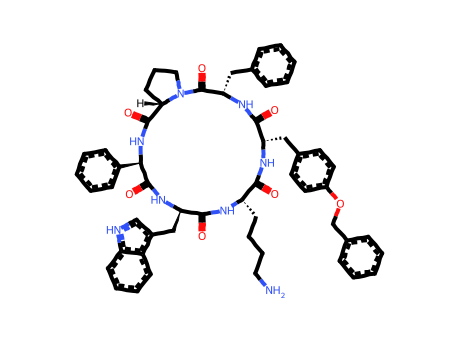 NCCCC[C@@H]1NC(=O)[C@@H](Cc2c[nH]c3ccccc23)NC(=O)[C@@H](c2ccccc2)NC(=O)[C@@H]2CCCN2C(=O)[C@H](Cc2ccccc2)NC(=O)[C@H](Cc2ccc(OCc3ccccc3)cc2)NC1=O